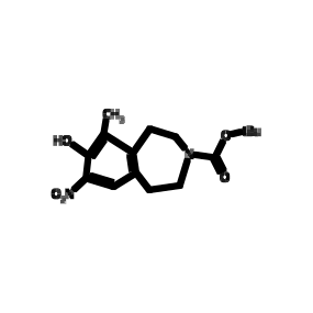 Cc1c(O)c([N+](=O)[O-])cc2c1CCN(C(=O)OC(C)(C)C)CC2